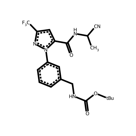 CC(C#N)NC(=O)c1cc(C(F)(F)F)nn1-c1cccc(CNC(=O)OC(C)(C)C)c1